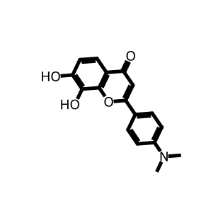 CN(C)c1ccc(-c2cc(=O)c3ccc(O)c(O)c3o2)cc1